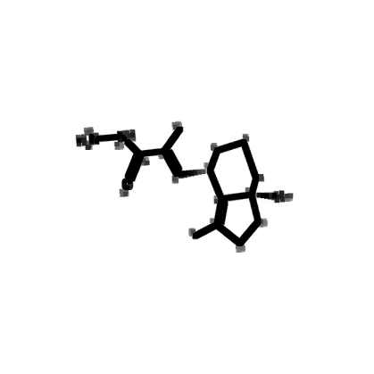 CC1=C2[C@@H](CCC[C@H]2/C=C(\C)C(=O)NN)CC1